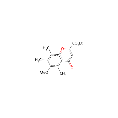 CCOC(=O)c1cc(=O)c2c(C)c(OC)c(C)c(C)c2o1